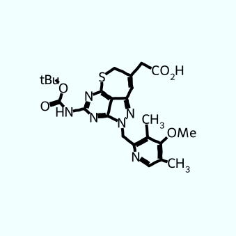 COc1c(C)cnc(Cn2nc3c4c(nc(NC(=O)OC(C)(C)C)nc42)SCC(CC(=O)O)=C3)c1C